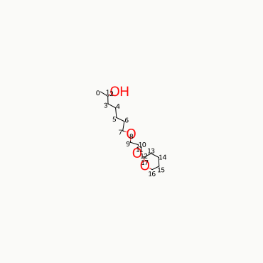 CC(O)CCCCCOCCOC1CCCCO1